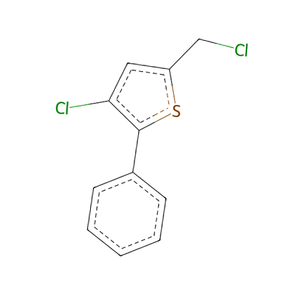 ClCc1cc(Cl)c(-c2ccccc2)s1